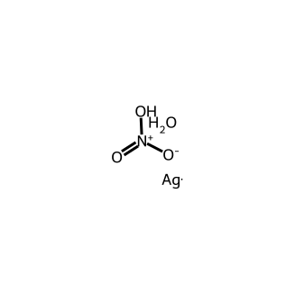 O.O=[N+]([O-])O.[Ag]